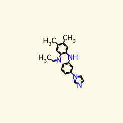 C/C=N\c1cc(C)c(C)cc1Nc1cccc(-n2ccnc2)c1